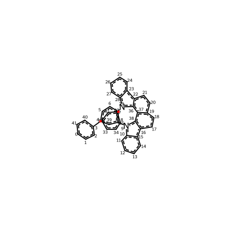 c1ccc(-c2cccc(-n3c4ccccc4c4ccc5ccc6c7ccccc7n(-c7ccccc7)c6c5c43)c2)cc1